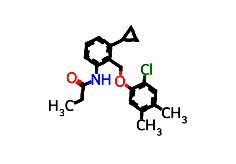 CCC(=O)Nc1cccc(C2CC2)c1COc1cc(C)c(C)cc1Cl